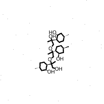 C[C@@H]1CC[C@@H](C(C)(O)COC(C)(COC(C)(CO)[C@@H]2CC[C@@H](C)C[C@H]2O)[C@@H]2CC[C@@H](C)C[C@H]2O)[C@H](O)C1